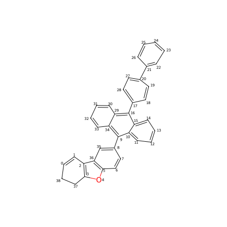 C1=Cc2c(oc3ccc(-c4c5ccccc5c(-c5ccc(-c6ccccc6)cc5)c5ccccc45)cc23)CC1